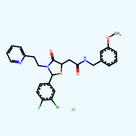 COc1cccc(CNC(=O)CC2SC(c3ccc(F)c(Br)c3)N(CCC3=CC=CC=[N+]3)C2=O)c1.[Cl-]